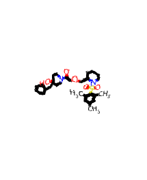 Cc1cc(C)c(S(=O)(=O)N2CCCCC2COCC(=O)N2CCC(O)(Cc3ccccc3)CC2)c(C)c1